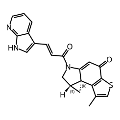 Cc1csc2c1[C@@]13C[C@@H]1CN(C(=O)C=Cc1c[nH]c4ncccc14)C3=CC2=O